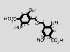 O=C(O)c1cc(O)c(CSCc2cc(O)c(C(=O)O)cc2O)cc1O